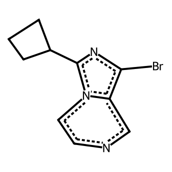 Brc1nc(C2CCC2)n2ccncc12